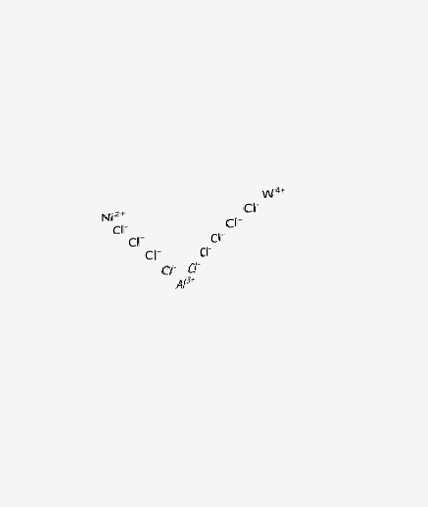 [Al+3].[Cl-].[Cl-].[Cl-].[Cl-].[Cl-].[Cl-].[Cl-].[Cl-].[Cl-].[Ni+2].[W+4]